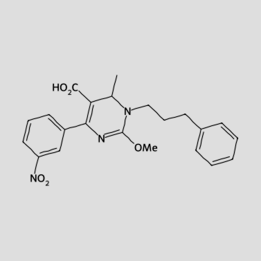 COC1=NC(c2cccc([N+](=O)[O-])c2)=C(C(=O)O)C(C)N1CCCc1ccccc1